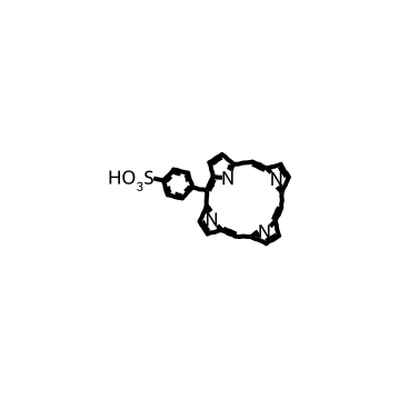 O=S(=O)(O)c1ccc(C2=C3C=CC(=N3)C=C3C=CC(=N3)C=C3C=CC(=N3)C=C3C=CC2=N3)cc1